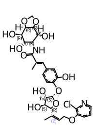 CC(=Cc1ccc(O[C@@H]2O[C@H](/C(C)=C\COc3cccnc3Cl)[C@@H](O)[C@@H]2O)c(O)c1)C(=O)N[C@@H]1[C@H](O)[C@@H](O)[C@H]2OCO[C@H]2[C@@H]1O